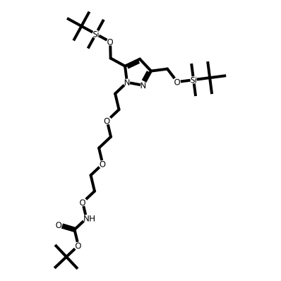 CC(C)(C)OC(=O)NOCCOCCOCCn1nc(CO[Si](C)(C)C(C)(C)C)cc1CO[Si](C)(C)C(C)(C)C